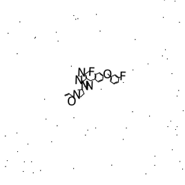 C=CC(=O)N1CC[C@@H](n2nc(-c3ccc(Oc4cccc(F)c4)cc3F)c3c(C)ncnc32)C1